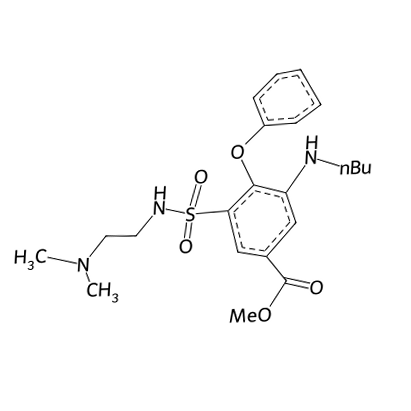 CCCCNc1cc(C(=O)OC)cc(S(=O)(=O)NCCN(C)C)c1Oc1ccccc1